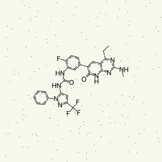 CCc1nc(NC)nc2[nH]c(=O)c(-c3ccc(F)c(NC(=O)Nc4cc(C(F)(F)F)nn4-c4ccccc4)c3)cc12